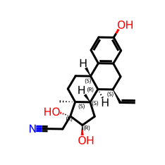 C=C[C@@H]1Cc2cc(O)ccc2[C@H]2CC[C@@]3(C)[C@@H](C[C@@H](O)[C@@]3(O)CC#N)[C@H]12